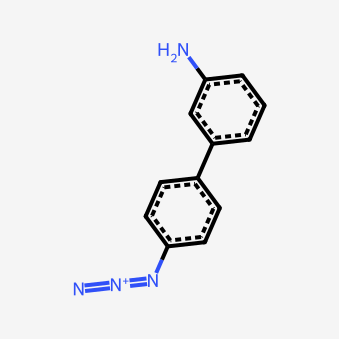 [N-]=[N+]=Nc1ccc(-c2cccc(N)c2)cc1